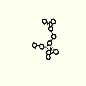 c1ccc(-c2ccc(N(c3ccc(-c4cccc(-c5ccc6c(c5)c5ccccc5n6-c5ccccc5)c4)cc3)c3cc4ccccc4c4c3oc3ccccc34)cc2)cc1